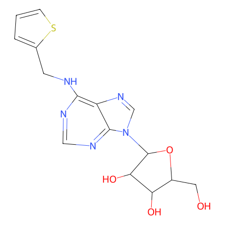 OCC1OC(n2cnc3c(NCc4cccs4)ncnc32)C(O)C1O